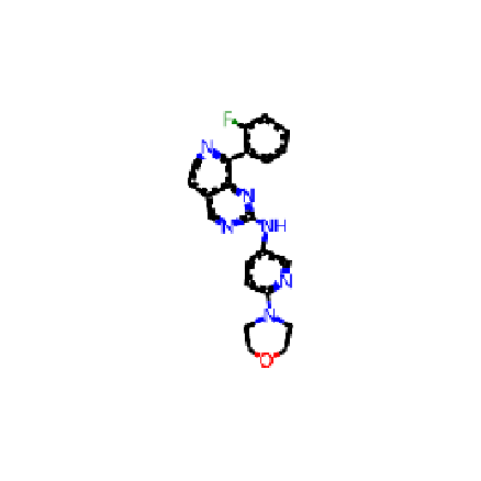 Fc1ccccc1-c1nccc2cnc(Nc3ccc(N4CCOCC4)nc3)nc12